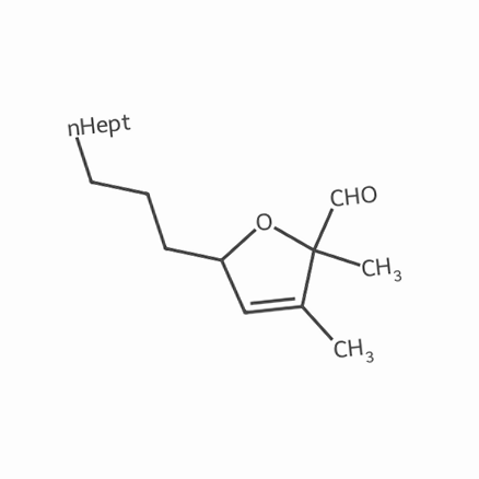 CCCCCCCCCCC1C=C(C)C(C)(C=O)O1